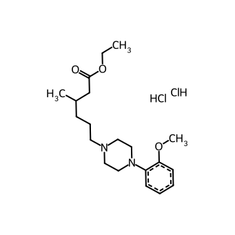 CCOC(=O)CC(C)CCCN1CCN(c2ccccc2OC)CC1.Cl.Cl